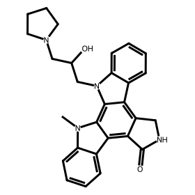 Cn1c2ccccc2c2c3c(c4c5ccccc5n(CC(O)CN5CCCC5)c4c21)CNC3=O